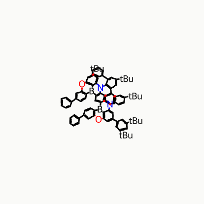 CC(C)(C)c1ccc(N2c3cc4c(cc3B3c5ccc(-c6ccccc6)cc5Oc5cc(-c6cc(C(C)(C)C)cc(C(C)(C)C)c6)cc2c53)B2c3ccc(-c5ccccc5)cc3Oc3cc(C(C)(C)C)cc(c32)N4c2c(-c3ccccc3)cc(C(C)(C)C)cc2-c2ccccc2)cc1